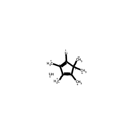 [LiH].[Li][C]1=C(C)C(C)=C(C)C1(C)C